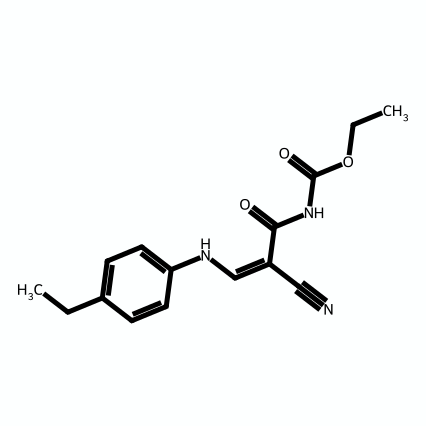 CCOC(=O)NC(=O)C(C#N)=CNc1ccc(CC)cc1